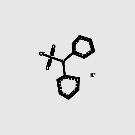 O=S(=O)([O-])N(c1ccccc1)c1ccccc1.[K+]